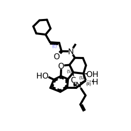 C=CCN1CC[C@]23c4c5ccc(O)c4OC2C(N(C)C(=O)/C=C/C2CCCCC2)CC[C@@]3(O)[C@H]1C5